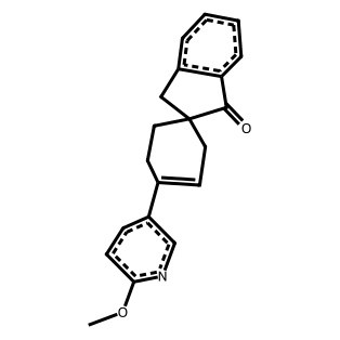 COc1ccc(C2=CCC3(CC2)Cc2ccccc2C3=O)cn1